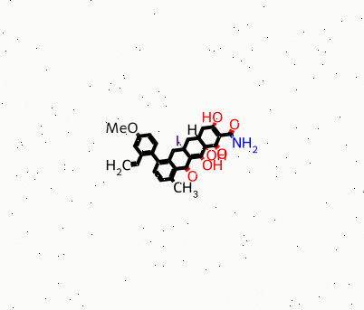 C=Cc1cc(OC)ccc1-c1ccc(C)c2c1C[C@@]1(I)C[C@H]3CC(O)=C(C(N)=O)C(=O)[C@@]3(O)C(O)=C1C2=O